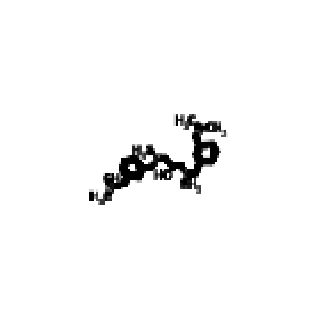 CN(C)Cc1cccc(CN(C)CC(O)CN(C)Cc2cccc(CN(C)C)c2)c1